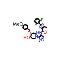 COc1ccc(CO[C@@H]2CCN(c3c(NC(=O)c4nc(-c5c(F)cccc5F)sc4C)cnn3C)CC[C@H]2O)cc1